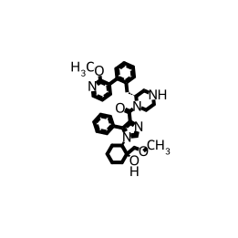 COC[C@]1(O)CCCC[C@H]1n1cnc(C(=O)N2CCNC[C@H]2Cc2ccccc2-c2cccnc2OC)c1-c1ccccc1